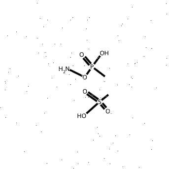 CP(=O)(O)ON.CS(=O)(=O)O